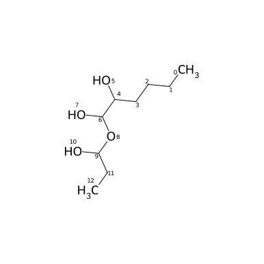 CCCCC(O)C(O)OC(O)CC